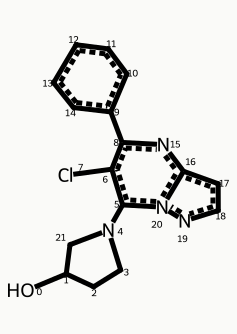 OC1CCN(c2c(Cl)c(-c3ccccc3)nc3ccnn23)C1